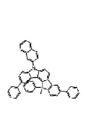 CC1(c2ccccc2)c2ccc(-c3ccccc3)cc2-c2ccc3c(c21)c1cc(-c2ccccc2)ccc1n3-c1ccc2ccccc2c1